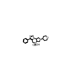 OCl.c1ccc(-c2nnn3c2CNC2CN(C4CCOCC4)CC23)cc1